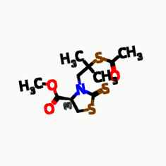 COC(=O)[C@@H]1CSC(=S)N1CC(C)(C)SC(C)=O